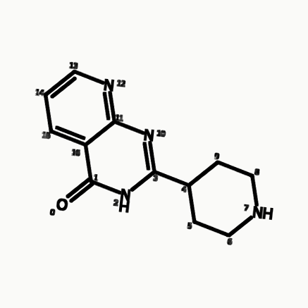 O=c1[nH]c(C2CCNCC2)nc2ncccc12